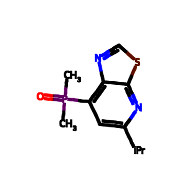 CC(C)c1cc(P(C)(C)=O)c2ncsc2n1